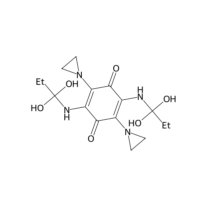 CCC(O)(O)NC1=C(N2CC2)C(=O)C(NC(O)(O)CC)=C(N2CC2)C1=O